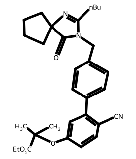 CCCCC1=NC2(CCCC2)C(=O)N1Cc1ccc(-c2cc(OC(C)(C)C(=O)OCC)ccc2C#N)cc1